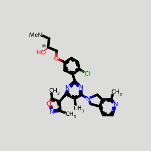 CNC[C@@H](O)COc1ccc(Cl)c(-c2nc(-c3c(C)noc3C)c(C)c(N3Cc4ccnc(C)c4C3)n2)c1